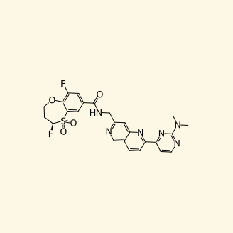 CN(C)c1nccc(-c2ccc3cnc(CNC(=O)c4cc(F)c5c(c4)S(=O)(=O)[C@@H](F)CCO5)cc3n2)n1